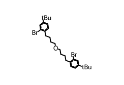 CC(C)(C)c1ccc(CCCCOCCCCc2ccc(C(C)(C)C)cc2Br)c(Br)c1